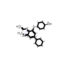 C=C/N=C1/C(O[C@H]2CC[C@H](O)CC2)=CC(C2CCCCC2)=C/C1=N/C